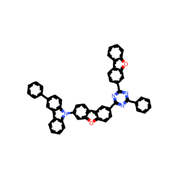 c1ccc(-c2ccc3c(c2)c2ccccc2n3-c2ccc3c(c2)oc2ccc(-c4nc(-c5ccccc5)nc(-c5ccc6c(c5)oc5ccccc56)n4)cc23)cc1